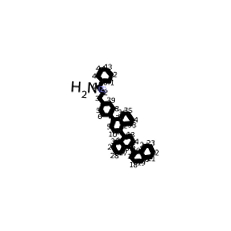 N/C(=C\Cc1ccc(-c2ccc(-c3ccc(-c4cccc5ccccc45)c4ccccc34)c3ccccc23)cc1)c1ccccc1